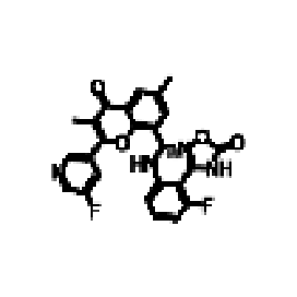 Cc1cc([C@@H](C)Nc2cccc(F)c2-c2noc(=O)[nH]2)c2oc(-c3cncc(F)c3)c(C)c(=O)c2c1